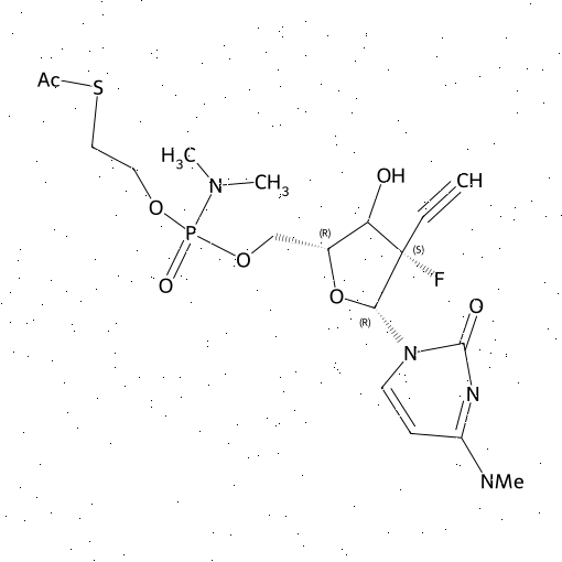 C#C[C@]1(F)C(O)[C@@H](COP(=O)(OCCSC(C)=O)N(C)C)O[C@H]1n1ccc(NC)nc1=O